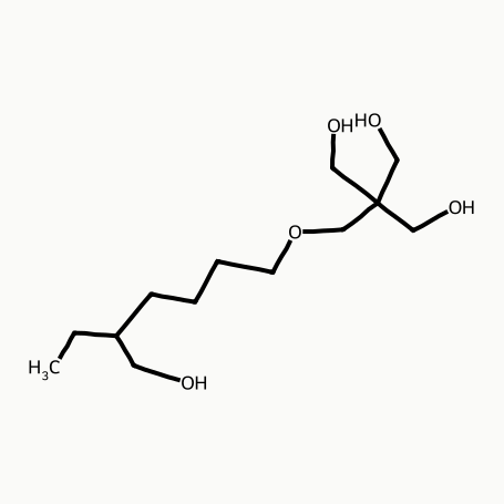 CCC(CO)CCCCOCC(CO)(CO)CO